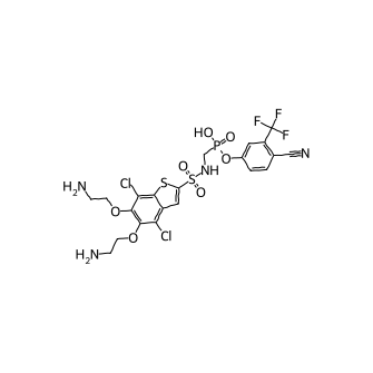 N#Cc1ccc(OP(=O)(O)CNS(=O)(=O)c2cc3c(Cl)c(OCCN)c(OCCN)c(Cl)c3s2)cc1C(F)(F)F